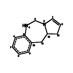 C1=CN2CNc3ccccc3CC2C1